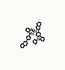 c1ccc(-n2c3ccccc3c3cc4c5cc6ccccc6cc5n(-c5nc(-c6ccc(-c7ccc8ccccc8c7)cc6)c6ccccc6n5)c4cc32)cc1